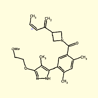 C=C(/C=C\C)C1CN(C(=O)c2cc(-c3[nH]nc(OCCOC)c3C)c(C)cc2C)C1